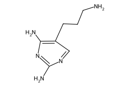 NCCCc1cnc(N)nc1N